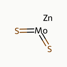 [S]=[Mo]=[S].[Zn]